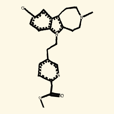 COC(=O)c1ccc(CCn2c3c(c4cc(Cl)ccc42)CCN(C)CC3)cn1